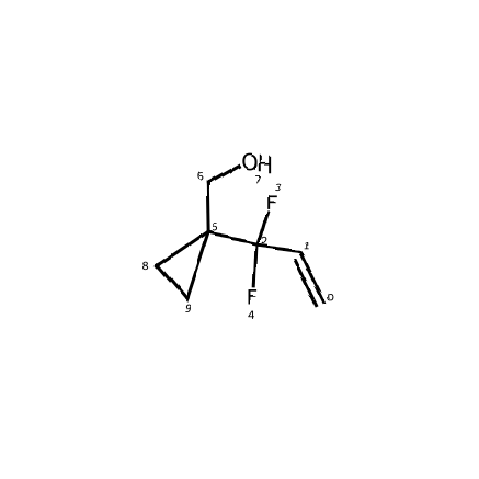 C=CC(F)(F)C1(CO)CC1